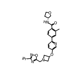 Cc1cc(-c2ccc(OC3CN(Cc4nc(C(C)C)no4)C3)cn2)ccc1C(=O)N[C@@H]1CCOC1